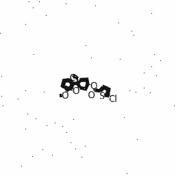 COc1ccc2c3c1OC1C[C@@H](OC(=O)c4ccc(Cl)s4)C=C[C@@]31CCC2